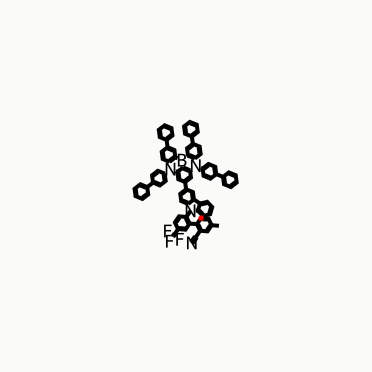 Cc1ccc(-c2cc(C(F)(F)F)ccc2-n2c3ccccc3c3cc(-c4cc5c6c(c4)N(c4ccc(-c7ccccc7)cc4)c4ccc(-c7ccccc7)cc4B6c4cc(-c6ccccc6)ccc4N5c4ccc(-c5ccccc5)cc4)ccc32)c(C#N)c1